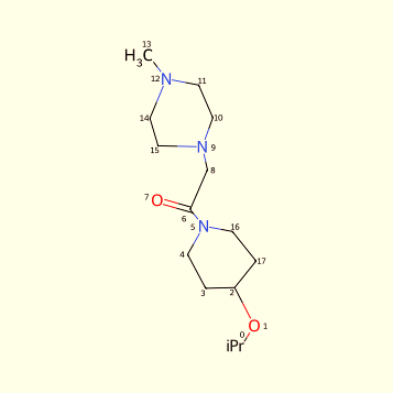 CC(C)OC1CCN(C(=O)CN2CCN(C)CC2)CC1